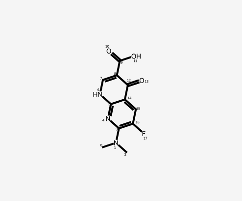 CN(C)c1nc2[nH]cc(C(=O)O)c(=O)c2cc1F